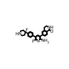 Nc1nc(F)c(-c2ccc(C3(F)CCNCC3)cc2)cc1-c1ccc2c(c1)CCNC2=O